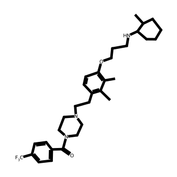 Cc1c(CCN2CCN(C(=O)c3ccc(C(F)(F)F)cc3)CC2)ccc(OCCCNC2CCCCC2C)c1C